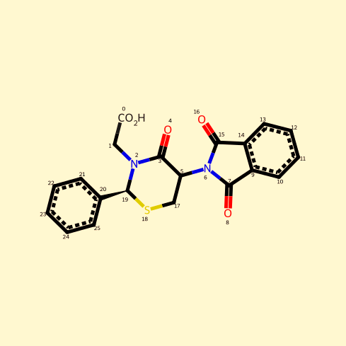 O=C(O)CN1C(=O)C(N2C(=O)c3ccccc3C2=O)CS[C@H]1c1ccccc1